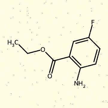 CCOC(=O)c1cc(F)ccc1N